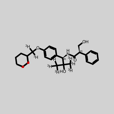 [2H]C([2H])([2H])C(O)([C@H](NC(=O)[C@@H](CO)c1ccccc1)c1ccc(OC([2H])([2H])C23CCC(CC2)CC3)cc1)C([2H])([2H])[2H]